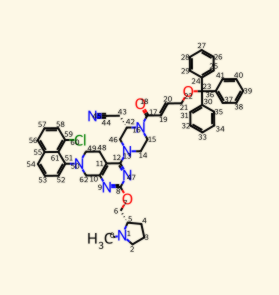 CN1CCC[C@H]1COc1nc2c(c(N3CCN(C(=O)/C=C/COC(c4ccccc4)(c4ccccc4)c4ccccc4)[C@@H](CC#N)C3)n1)CCN(c1cccc3cccc(Cl)c13)C2